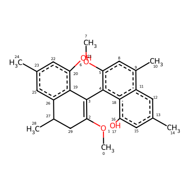 COC1=C(c2c(OC)cc(C)c3cc(C)cc(O)c23)c2c(O)cc(C)cc2C(C)C1